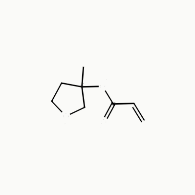 C=CC(=O)OC1(C)CCOC1